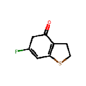 O=C1CC(F)=CC2=C1CCS2